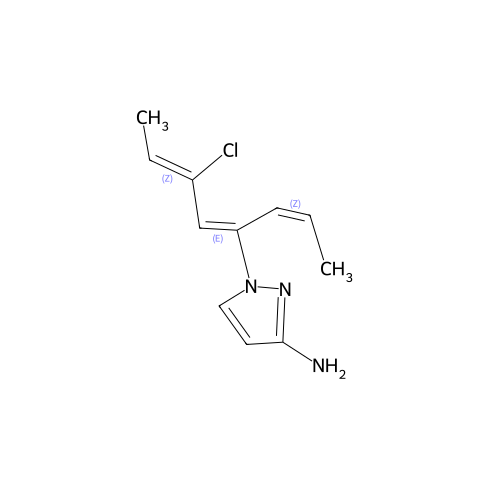 C\C=C/C(=C\C(Cl)=C\C)n1ccc(N)n1